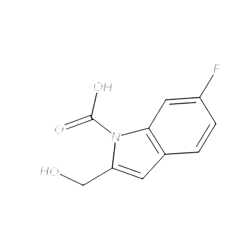 O=C(O)n1c(CO)cc2ccc(F)cc21